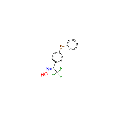 O/N=C(/c1ccc(Sc2ccccc2)cc1)C(F)(F)F